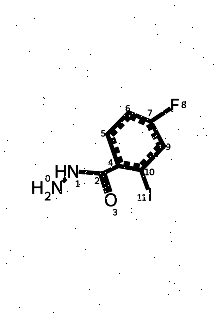 NNC(=O)c1ccc(F)cc1I